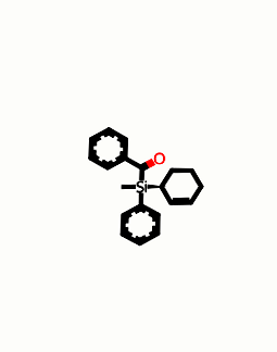 C[Si](C(=O)c1ccccc1)(c1ccccc1)[C@@H]1C=CCCC1